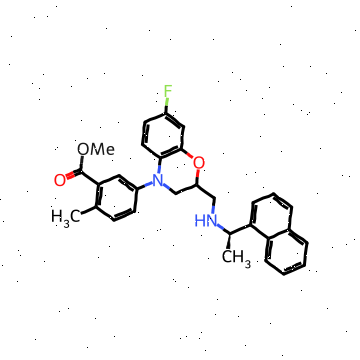 COC(=O)c1cc(N2CC(CN[C@H](C)c3cccc4ccccc34)Oc3cc(F)ccc32)ccc1C